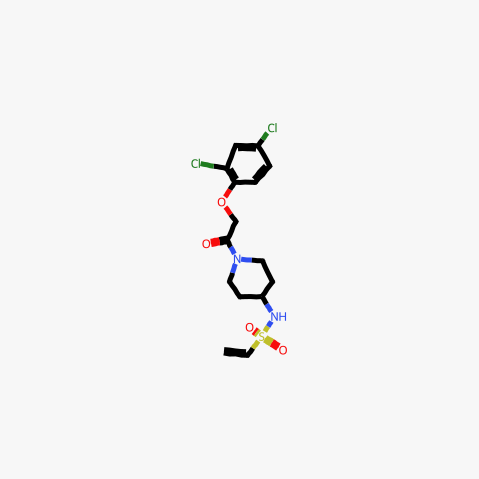 C=CS(=O)(=O)NC1CCN(C(=O)COc2ccc(Cl)cc2Cl)CC1